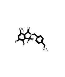 CCc1ccc(CN2C(=O)c3c(C)cc(F)c(F)c3C2(F)F)cc1